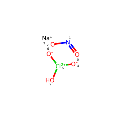 O=N[O-].[Na+].[O-][Cl+2]([O-])O